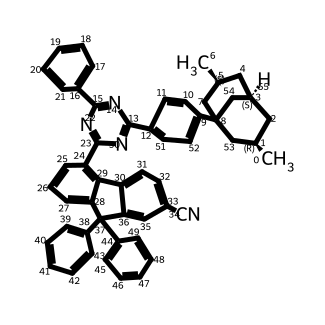 C[C@@H]1C[C@@H]2C[C@H](C)CC(c3ccc(-c4nc(-c5ccccc5)nc(-c5cccc6c5-c5ccc(C#N)cc5C6(c5ccccc5)c5ccccc5)n4)cc3)(C1)C2